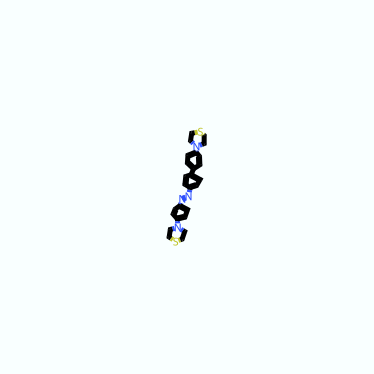 c1cc(-c2ccc(N3CCSCC3)cc2)ccc1N=Nc1ccc(N2CCSCC2)cc1